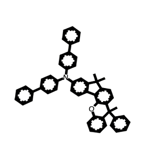 CC1(C)c2cc(N(c3ccc(-c4ccccc4)cc3)c3ccc(-c4ccccc4)cc3)ccc2-c2c1ccc1c2Oc2ccccc2C1(C)c1ccccc1